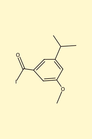 COc1cc(C(=O)I)cc(C(C)C)c1